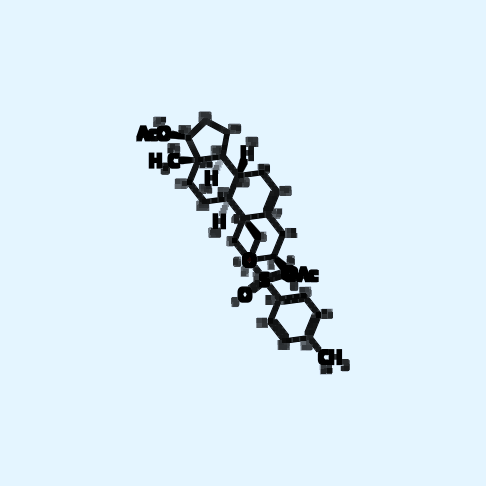 CC(=O)O[C@H]1CC[C@@]2(COS(=O)(=O)c3ccc(C)cc3)C(=CC[C@@H]3[C@@H]2CC[C@]2(C)[C@@H](OC(C)=O)CC[C@@H]32)C1